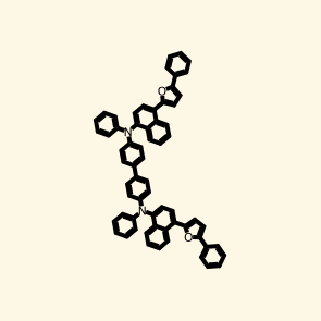 c1ccc(-c2ccc(-c3ccc(N(c4ccccc4)c4ccc(-c5ccc(N(c6ccccc6)c6ccc(-c7ccc(-c8ccccc8)o7)c7ccccc67)cc5)cc4)c4ccccc34)o2)cc1